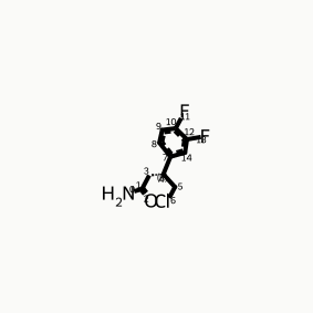 NC(=O)C[C@@H](CCl)c1ccc(F)c(F)c1